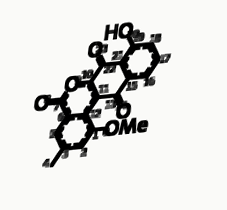 COc1cc(C)cc2c(=O)oc3c(c12)C(=O)c1cccc(O)c1C3=O